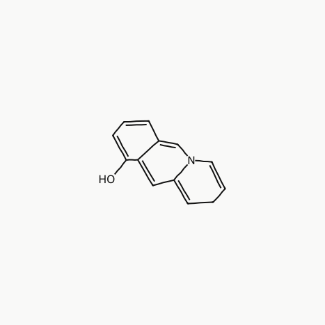 Oc1cccc2c1=CC1=CCC=CN1C=2